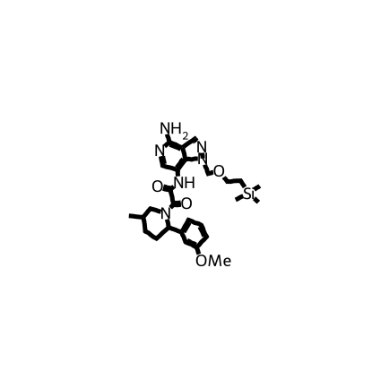 COc1cccc(C2CCC(C)CN2C(=O)C(=O)Nc2cnc(N)c3cnn(COCC[Si](C)(C)C)c23)c1